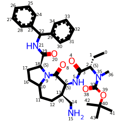 CC[C@@H](C(=O)N[C@@H]1C(=O)N2C(CC[C@@H]1CN)CC[C@H]2C(=O)NC(c1ccccc1)c1ccccc1)N(C)C(=O)OC(C)(C)C